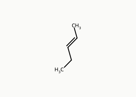 C/C=C/CC